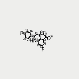 COC(=O)c1cc(F)cc2c1C(=O)C[C@@H](c1ccc(F)cc1)N2